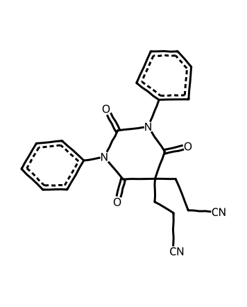 N#CCCC1(CCC#N)C(=O)N(c2ccccc2)C(=O)N(c2ccccc2)C1=O